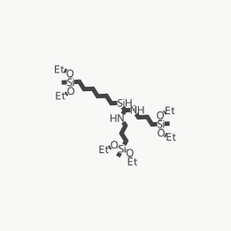 CCO[Si](C)(CCCCCC[SiH2]C(NCCC[Si](C)(OCC)OCC)NCCC[Si](C)(OCC)OCC)OCC